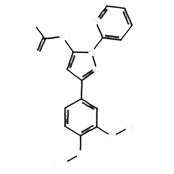 COc1ccc(-c2cc(NC(C)=O)n(-c3ccccn3)n2)cc1OC